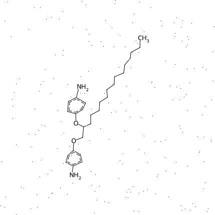 CCCCCCCCCCCCCCC(COc1ccc(N)cc1)Oc1ccc(N)cc1